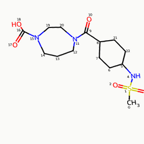 CS(=O)(=O)NC1CCC(C(=O)N2CCCN(C(=O)O)CC2)CC1